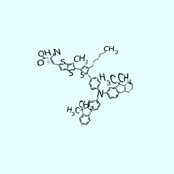 CCCCCCc1cc(-c2sc3cc(/C=C(\C#N)C(=O)O)sc3c2C)sc1-c1ccc(N(c2ccc3c(c2)C(C)(C)C2=C3CCC=C2)c2ccc3c(c2)C(C)(C)c2ccccc2-3)cc1